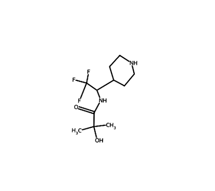 CC(C)(O)C(=O)NC(C1CCNCC1)C(F)(F)F